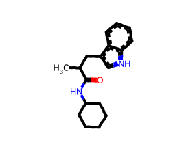 CC(Cc1c[nH]c2ccccc12)C(=O)NC1CCCCC1